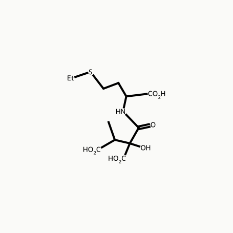 CCSCCC(NC(=O)C(O)(C(=O)O)C(C)C(=O)O)C(=O)O